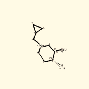 C[C@@H]1CCN(CC2CC2)C[C@H]1C(C)(C)C